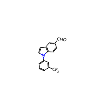 O=Cc1ccc2c(ccn2-c2cccc(C(F)(F)F)c2)c1